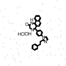 Cl.Cl.O=C1CN=C(c2ccc(-n3ccnc3CCc3ccccc3)cc2)c2ccc3ccccc3c2N1